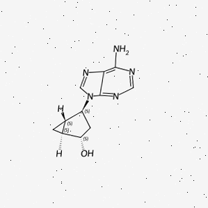 Nc1ncnc2c1ncn2[C@H]1C[C@H](O)[C@H]2C[C@@H]21